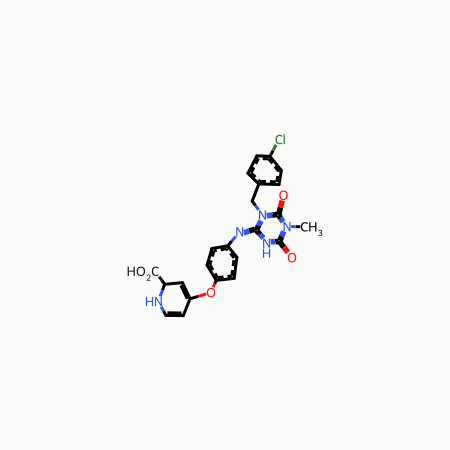 Cn1c(=O)[nH]/c(=N\c2ccc(OC3=CC(C(=O)O)NC=C3)cc2)n(Cc2ccc(Cl)cc2)c1=O